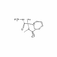 CN1C(=O)c2ccccc2C1(O)C(=O)NN